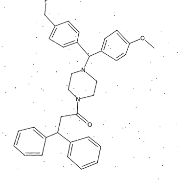 COc1ccc(C(c2ccc(CF)cc2)N2CCN(C(=O)CC(c3ccccc3)c3ccccc3)CC2)cc1